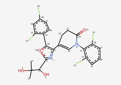 CC(C)(O)C(O)c1nc(C2=CN(c3c(F)cccc3F)C(=O)CC2)c(-c2ccc(F)cc2F)o1